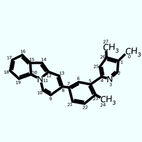 Cc1cnc(-c2cc(-c3ccn4c(c3)cc3ccccc34)ccc2C)cc1C